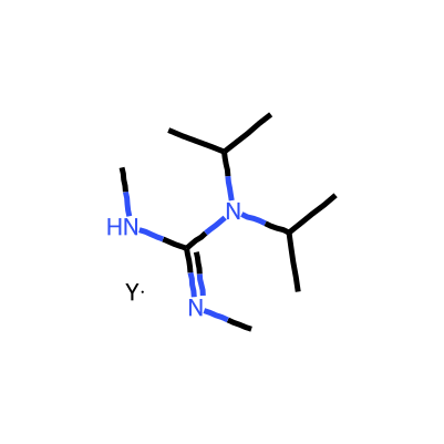 CN=C(NC)N(C(C)C)C(C)C.[Y]